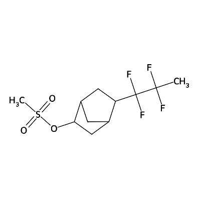 CC(F)(F)C(F)(F)C1CC2CC1CC2OS(C)(=O)=O